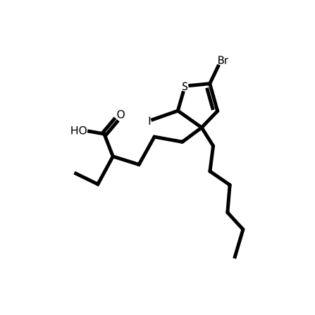 CCCCCCC1(CCCC(CC)C(=O)O)C=C(Br)SC1I